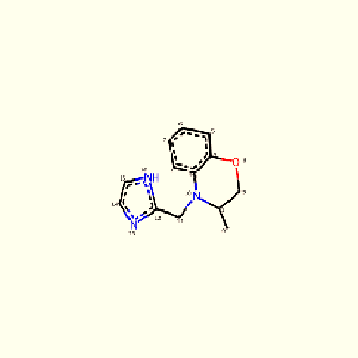 CC1COc2ccccc2N1Cc1ncc[nH]1